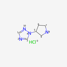 Cl.c1ncn(C2CC[N]C2)n1